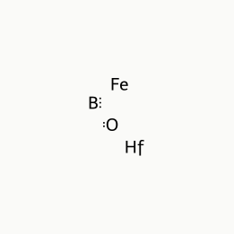 [B].[Fe].[Hf].[O]